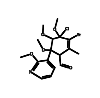 COc1ncccc1C1(OC)C(C=O)C(C)=C(Br)C(Cl)(OC)C1OC